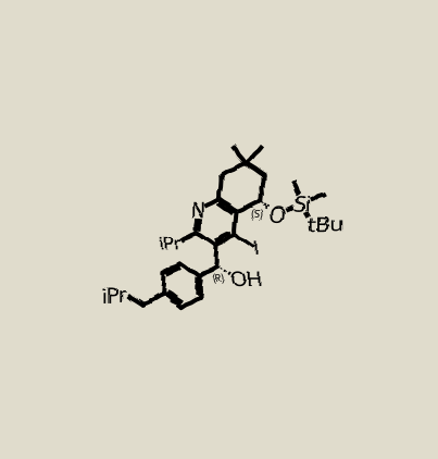 CC(C)Cc1ccc([C@@H](O)c2c(C(C)C)nc3c(c2I)[C@@H](O[Si](C)(C)C(C)(C)C)CC(C)(C)C3)cc1